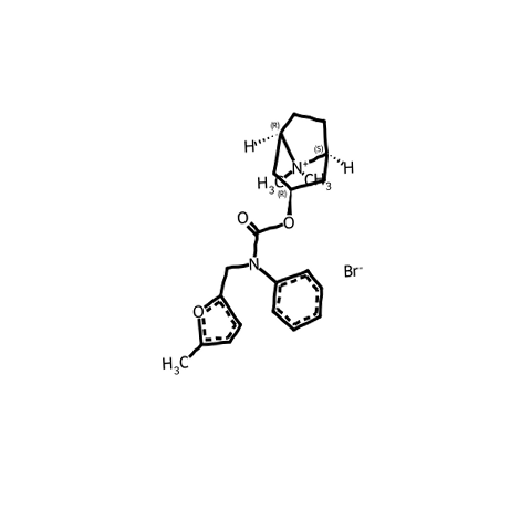 Cc1ccc(CN(C(=O)O[C@H]2C[C@H]3CC[C@@H](C2)[N+]3(C)C)c2ccccc2)o1.[Br-]